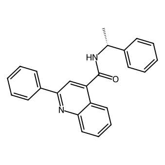 C[C@@H](NC(=O)c1cc(-c2ccccc2)nc2ccccc12)c1ccccc1